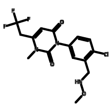 CONCc1cc(-n2c(=O)cc(CC(F)(F)F)n(C)c2=O)ccc1Cl